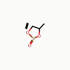 C=C.CC1COS(=O)O1